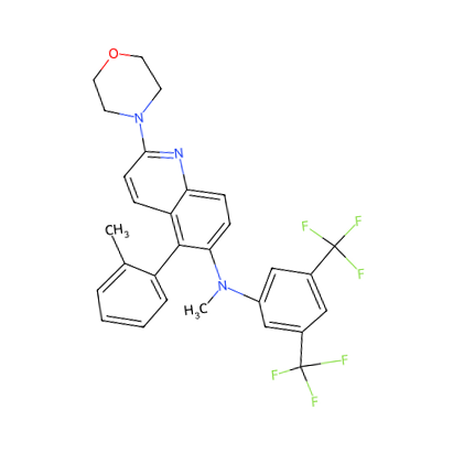 Cc1ccccc1-c1c(N(C)c2cc(C(F)(F)F)cc(C(F)(F)F)c2)ccc2nc(N3CCOCC3)ccc12